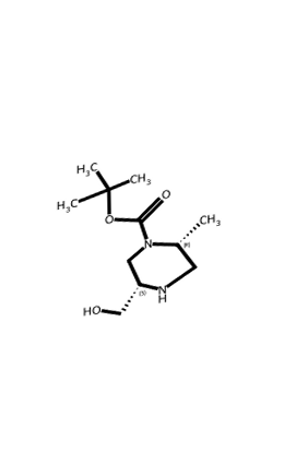 C[C@@H]1CN[C@H](CO)CN1C(=O)OC(C)(C)C